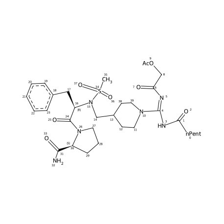 CCCCCC(=O)NC(=NC(=O)COC(C)=O)N1CCC(CN([C@H](Cc2ccccc2)C(=O)N2CCC[C@H]2C(N)=O)S(C)(=O)=O)CC1